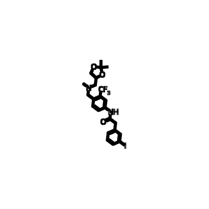 CN(Cc1ccc(NC(=O)Cc2cccc(I)c2)cc1C(F)(F)F)CC1COC(C)(C)O1